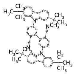 CC(C)(C)c1ccc2c3ccc(C(C)(C)C)cc3n(-c3ccc(C#N)c(-c4cc(-n5c6cc(C(C)(C)C)ccc6c6ccc(C(C)(C)C)cc65)ccc4C#N)c3)c2c1